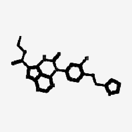 CCOC(=O)c1sc2ncnc3c2c1NC(=O)N3c1ccc(OCc2cccs2)c(Cl)c1